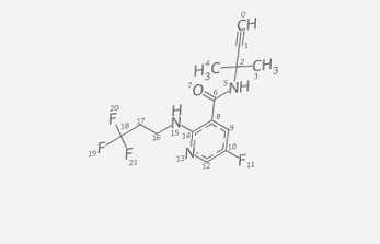 C#CC(C)(C)NC(=O)c1cc(F)cnc1NCCC(F)(F)F